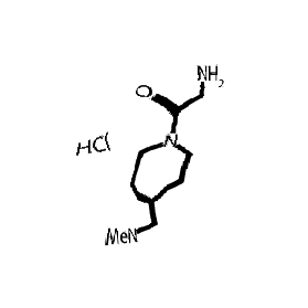 CNCC1CCN(C(=O)CN)CC1.Cl